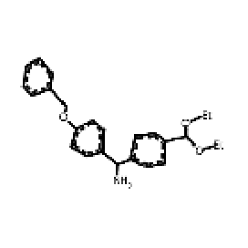 CCOC(OCC)c1ccc(C(N)c2ccc(OCc3ccccc3)cc2)cc1